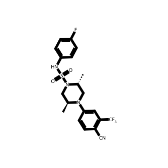 C[C@@H]1CN(c2ccc(C#N)c(C(F)(F)F)c2)[C@@H](C)CN1S(=O)(=O)Nc1ccc(F)cc1